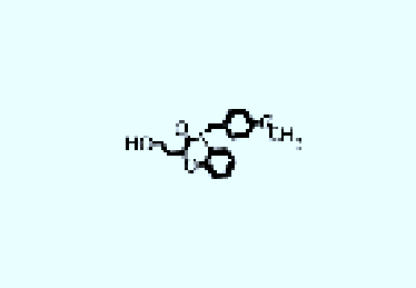 COc1ccc(CN2C(=O)C(CCO)Oc3ccccc32)cc1